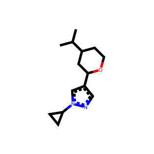 CC(C)C1CCOC(c2cnn(C3CC3)c2)C1